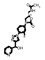 CC(=O)NC[C@H]1CN(c2ccc(-n3cc(C(O)c4cccnc4)nn3)c(F)c2)C(=O)O1